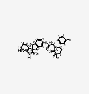 Cc1cccc([C@@H]2CCC(C)(C)C(=O)N2CC(=O)Nc2ccc3c(c2)C[C@@]2(C3)C(=O)NC3=C2C=CCN3)c1